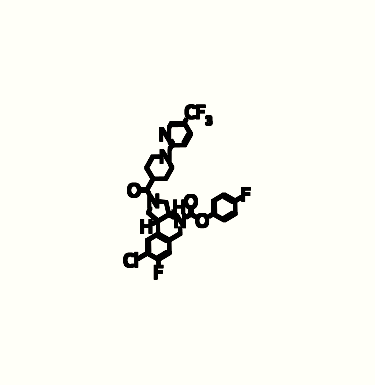 O=C(C1CCN(c2ccc(C(F)(F)F)cn2)CC1)N1C[C@@H]2[C@@H](C1)c1cc(Cl)c(F)cc1CN2C(=O)Oc1ccc(F)cc1